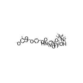 CC[N+](CC)(CC)[C]([C@H]1O[C@@H](n2ccc(NC(=O)OCc3ccc(OCc4cc5cc(OC)cc(C)c5o4)cc3)nc2=O)C(F)(F)[C@@H]1O)[N+](CC)(CC)CC